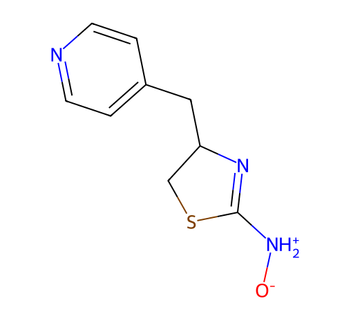 [O-][NH2+]C1=NC(Cc2ccncc2)CS1